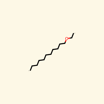 [CH2]CCCCCCCCCCOC[CH2]